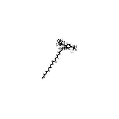 CCCCCCCCCCCCCCCCCCNC(=O)C1(c2ccc(NC(C)=O)cc2)NC(C(=O)O)CS1